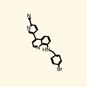 N#Cc1ccc(-c2ccnc3c(NCc4ccc(Br)cc4)cccc23)cn1